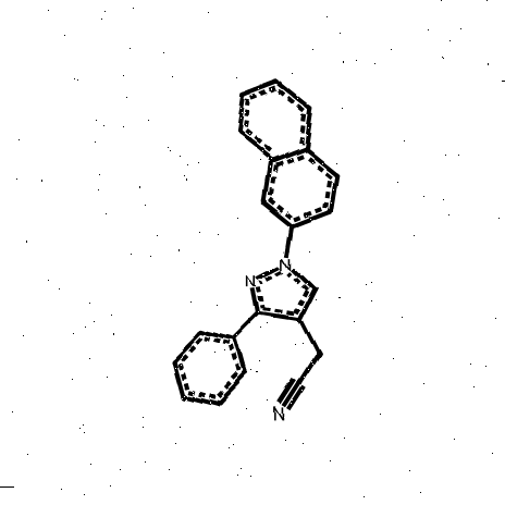 N#CCc1cn(-c2ccc3ccccc3c2)nc1-c1ccccc1